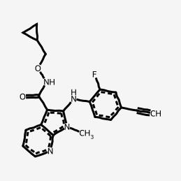 C#Cc1ccc(Nc2c(C(=O)NOCC3CC3)c3cccnc3n2C)c(F)c1